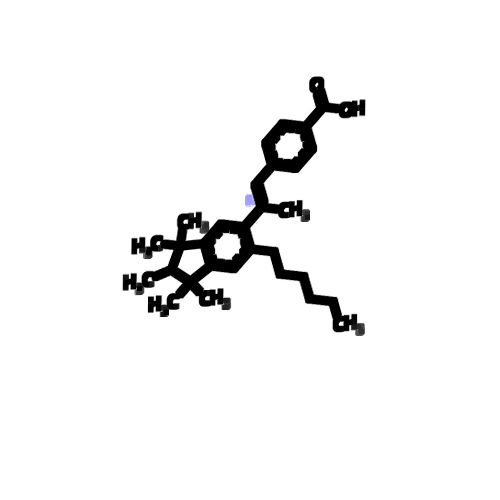 CCCCCCc1cc2c(cc1/C(C)=C/c1ccc(C(=O)O)cc1)C(C)(C)C(C)C2(C)C